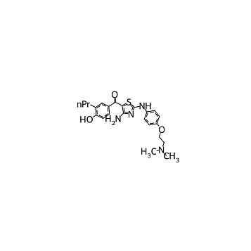 CCCc1cc(C(=O)c2sc(Nc3ccc(OCCN(C)C)cc3)nc2N)ccc1O